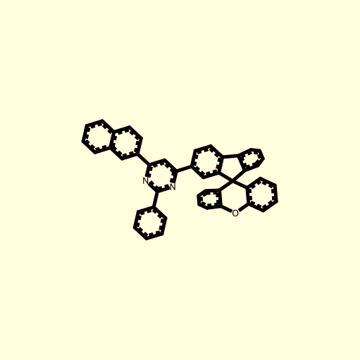 c1ccc(-c2nc(-c3ccc4c(c3)C3(c5ccccc5Oc5ccccc53)c3ccccc3-4)cc(-c3ccc4ccccc4c3)n2)cc1